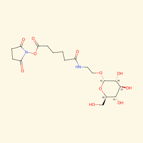 O=C(CCCCC(=O)ON1C(=O)CCC1=O)NCCO[C@H]1O[C@H](CO)[C@@H](O)[C@H](O)[C@H]1O